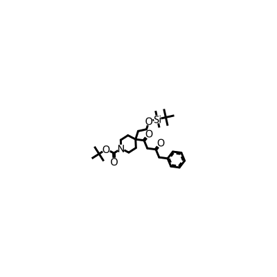 CC(C)(C)OC(=O)N1CCC(CCO[Si](C)(C)C(C)(C)C)(C(=O)CC(=O)Cc2ccccc2)CC1